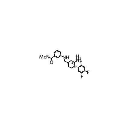 CNC(=O)c1cccc(NCC2=CC[C@@H](c3cc(F)c(F)cc3F)[C@H](N)C2)c1